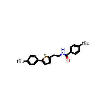 CC(C)(C)c1ccc(C(=O)NCCc2ccc(-c3ccc(C(C)(C)C)cc3)s2)cc1